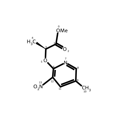 COC(=O)[C@H](C)Oc1ncc(C)cc1[N+](=O)[O-]